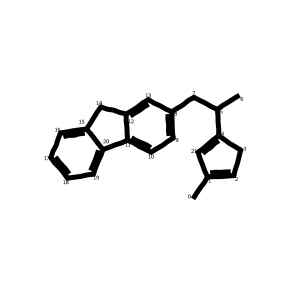 CC1=CCC(C(C)Cc2ccc3c(c2)Cc2ccccc2-3)=C1